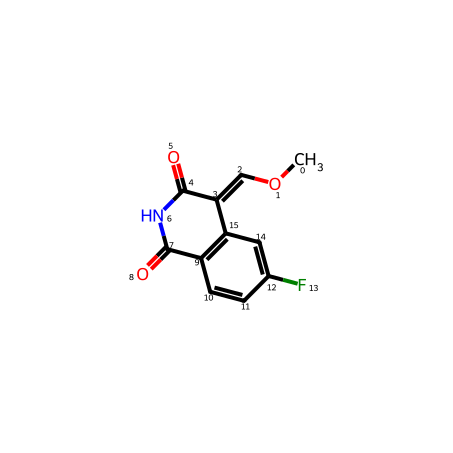 CO/C=C1/C(=O)NC(=O)c2ccc(F)cc21